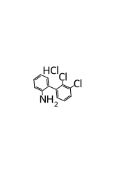 Cl.Nc1ccccc1-c1cccc(Cl)c1Cl